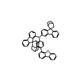 c1ccc2c(c1)-c1cc(N(c3ccc(-c4cccc5c4oc4ccccc45)cc3)c3cccc4c3C3(c5ccccc5-4)C4CC5CC(C4)CC3C5)ccc1C21CC2CCC1C2